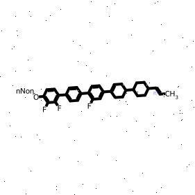 C/C=C/C1CCC(C2CC=C(c3ccc(-c4ccc(-c5ccc(OCCCCCCCCC)c(F)c5F)cc4)c(F)c3)CC2)CC1